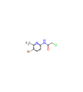 O=C(CCl)Nc1ccc(Br)c(C(F)(F)F)n1